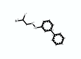 BrC(I)CSOc1cccc(-c2ccccc2)c1